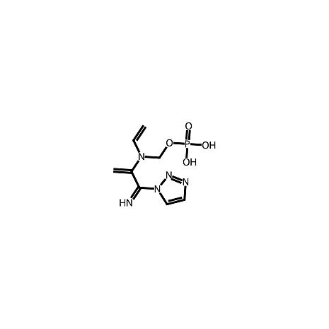 C=CN(COP(=O)(O)O)C(=C)C(=N)n1ccnn1